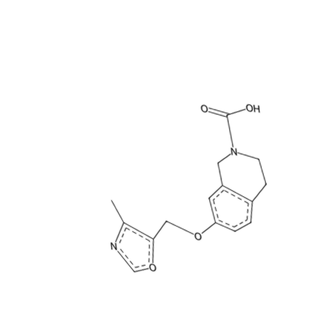 Cc1ncoc1COc1ccc2c(c1)CN(C(=O)O)CC2